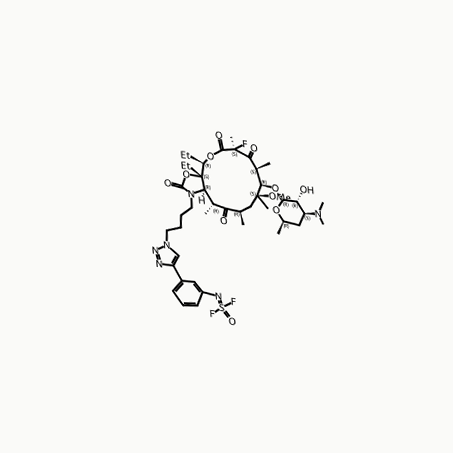 CC[C@H]1OC(=O)[C@@](C)(F)C(=O)[C@@H](C)[C@@H](O[C@H]2O[C@H](C)C[C@H](N(C)C)[C@H]2O)[C@@](C)(OC)C[C@@H](C)C(=O)[C@H](C)[C@H]2N(CCCCn3cc(-c4cccc(N=S(=O)(F)F)c4)nn3)C(=O)O[C@]12CC